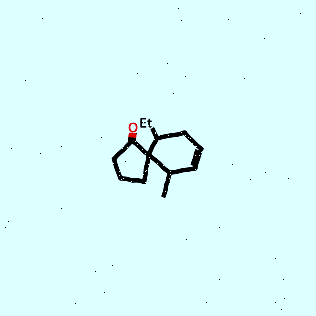 CCC1CC=CC(C)C12CCCC2=O